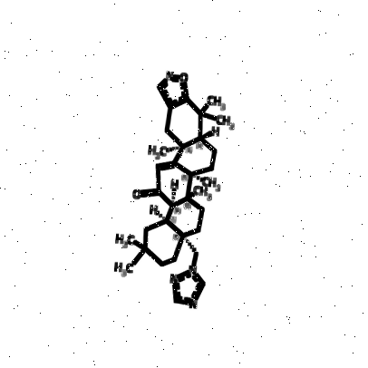 CC1(C)CC[C@]2(Cn3cncn3)CC[C@]3(C)[C@H](C(=O)C=C4[C@@]5(C)Cc6cnoc6C(C)(C)[C@@H]5CC[C@]43C)[C@@H]2C1